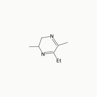 CCC1=NC(C)CN=C1C